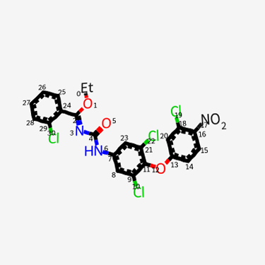 CCOC(=NC(=O)Nc1cc(Cl)c(Oc2ccc([N+](=O)[O-])c(Cl)c2)c(Cl)c1)c1ccccc1Cl